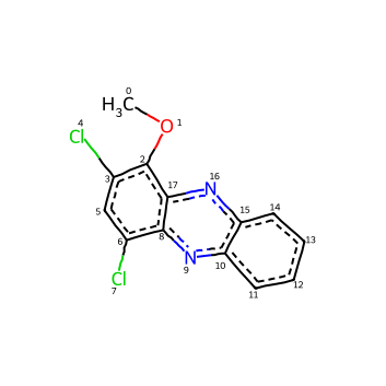 COc1c(Cl)cc(Cl)c2nc3ccccc3nc12